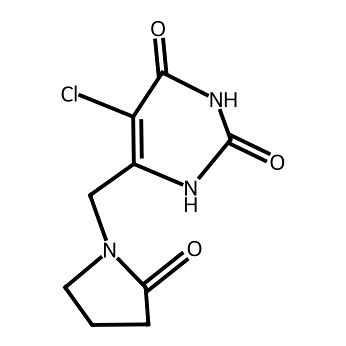 O=C1CCCN1Cc1[nH]c(=O)[nH]c(=O)c1Cl